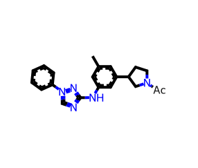 CC(=O)N1CCC(c2cc(C)cc(Nc3ncn(-c4ccccc4)n3)c2)C1